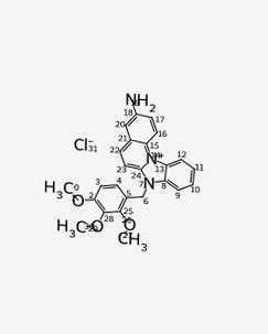 COc1ccc(Cn2c3ccccc3[n+]3c4ccc(N)cc4ccc23)c(OC)c1OC.[Cl-]